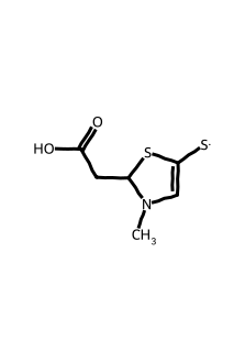 CN1C=C([S])SC1CC(=O)O